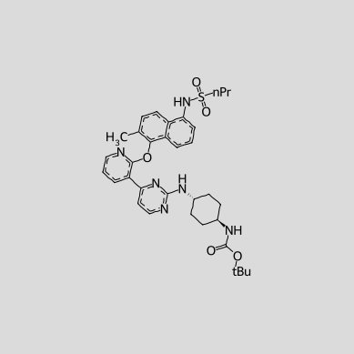 CCCS(=O)(=O)Nc1cccc2c(Oc3ncccc3-c3ccnc(N[C@H]4CC[C@H](NC(=O)OC(C)(C)C)CC4)n3)c(C)ccc12